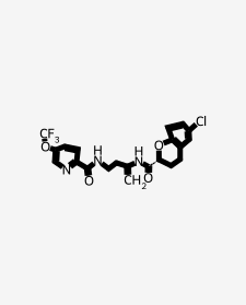 C=C(CCNC(=O)c1ccc(OC(F)(F)F)cn1)NC(=O)[C@H]1CCc2cc(Cl)ccc2O1